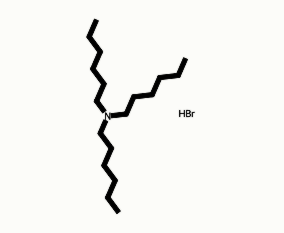 Br.CCCCCCN(CCCCCC)CCCCCC